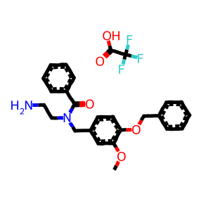 COc1cc(CN(CCN)C(=O)c2ccccc2)ccc1OCc1ccccc1.O=C(O)C(F)(F)F